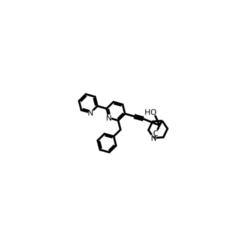 OC1(C#Cc2ccc(-c3ccccn3)nc2Cc2ccccc2)CN2CCC1CC2